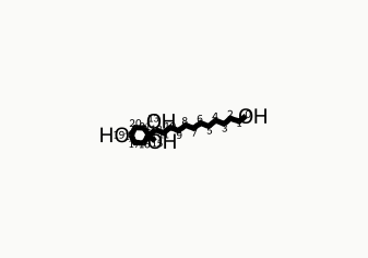 OCCCCCCCCCCCC(O)C1(O)CCC(O)CC1